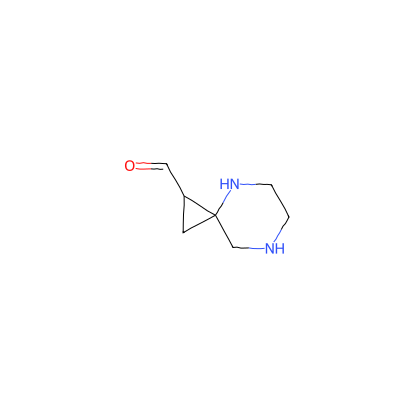 O=CC1CC12CNCCN2